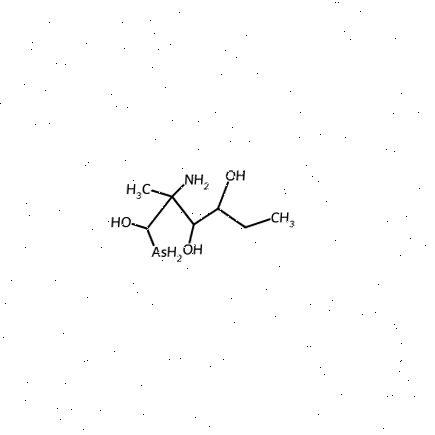 CCC(O)C(O)C(C)(N)C(O)[AsH2]